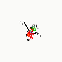 C=CCO[C@H]1O[C@H](COC(=O)OCc2ccccc2)[C@@H](OP(=O)(Oc2ccccc2)Oc2ccccc2)[C@H](OCC[C@H](CCCCCCCCCCC)OCc2ccc(OC)cc2)[C@@H]1NC(=O)OCC(Cl)(Cl)Cl